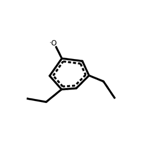 CCc1cc([O])cc(CC)c1